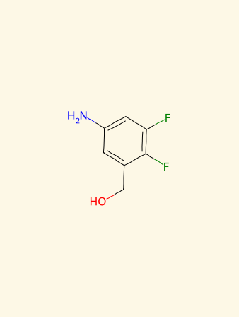 Nc1cc(F)c(F)c(CO)c1